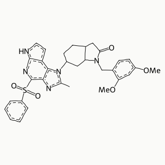 COc1ccc(CN2C(=O)CC3CCC(n4c(C)nc5c(S(=O)(=O)c6ccccc6)nc6[nH]ccc6c54)CC32)c(OC)c1